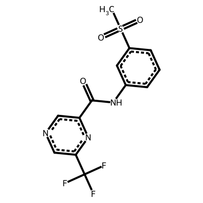 CS(=O)(=O)c1cccc(NC(=O)c2cncc(C(F)(F)F)n2)c1